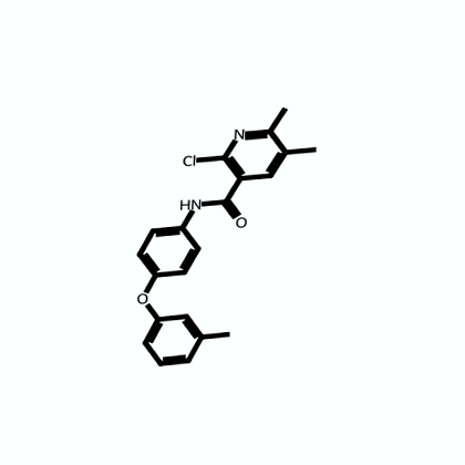 Cc1cccc(Oc2ccc(NC(=O)c3cc(C)c(C)nc3Cl)cc2)c1